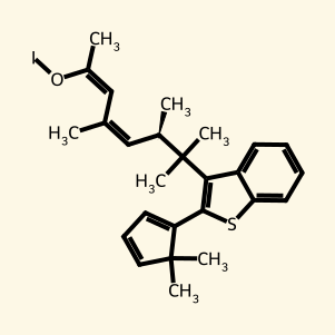 CC(=C/[C@@H](C)C(C)(C)c1c(C2=CC=CC2(C)C)sc2ccccc12)/C=C(/C)OI